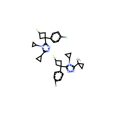 CC1(c2nnc(C3(c4ccc(Cl)cc4)CC(F)C3)n2C2CC2)CC1.FC1CC(c2ccc(Cl)cc2)(c2nnc(C3CC3)n2C2CC2)C1